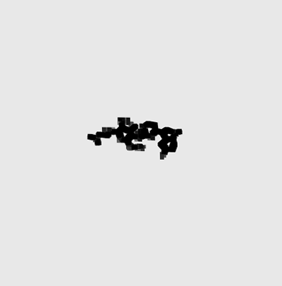 Cc1c(N)c(NCCN(C)C)nc(OC(C)C)c1Nc1nccc(-c2cn(C)c3ccc(F)cc23)n1